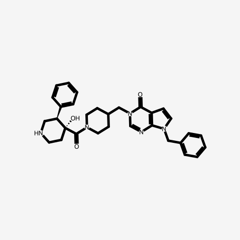 O=C(N1CCC(Cn2cnc3c(ccn3Cc3ccccc3)c2=O)CC1)[C@@]1(O)CCNC[C@H]1c1ccccc1